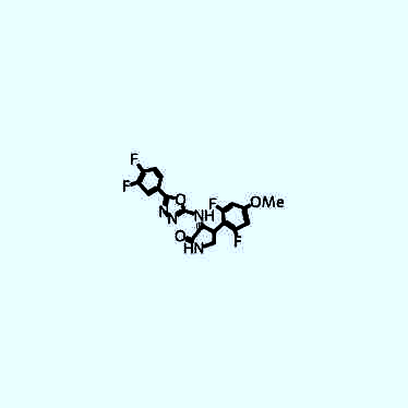 COc1cc(F)c(C2CNC(=O)[C@@H]2Nc2nnc(-c3ccc(F)c(F)c3)o2)c(F)c1